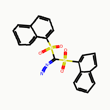 [N-]=[N+]=C(S(=O)(=O)c1cccc2ccccc12)S(=O)(=O)c1cccc2ccccc12